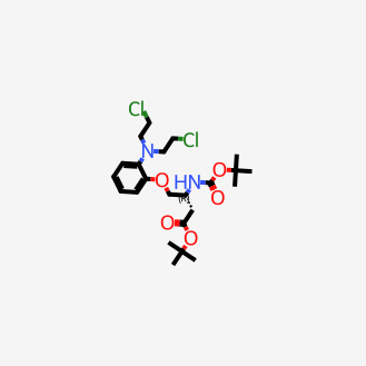 CC(C)(C)OC(=O)C[C@H](COc1ccccc1N(CCCl)CCCl)NC(=O)OC(C)(C)C